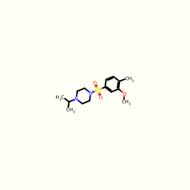 COc1cc(S(=O)(=O)N2CCN(C(C)C)CC2)ccc1C